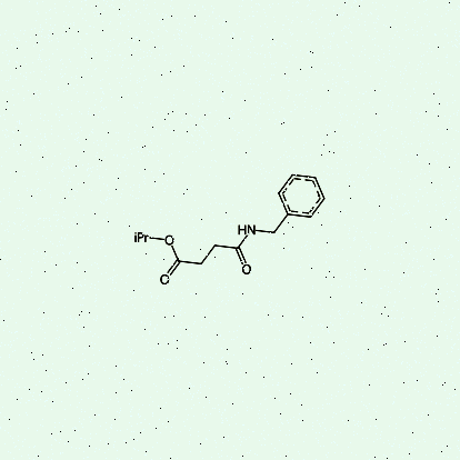 CC(C)OC(=O)CCC(=O)NCc1ccccc1